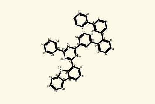 c1ccc(-c2cccc(-c3ccccc3-c3cccc(-c4nc(-c5ccccc5)nc(-c5cccc6c5oc5ccccc56)n4)c3)c2)cc1